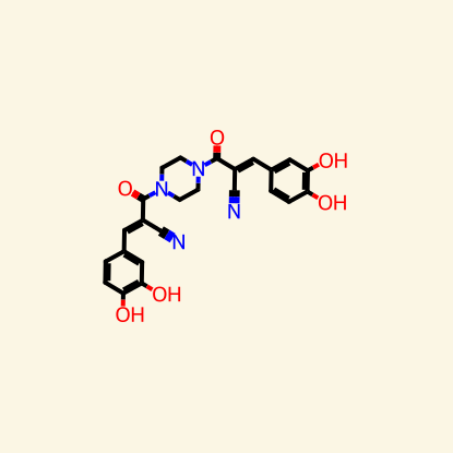 N#C/C(=C\c1ccc(O)c(O)c1)C(=O)N1CCN(C(=O)/C(C#N)=C/c2ccc(O)c(O)c2)CC1